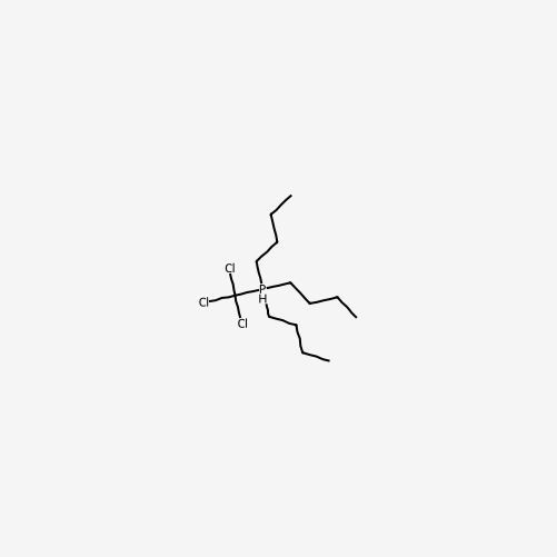 CCCC[PH](CCCC)(CCCC)C(Cl)(Cl)Cl